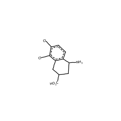 NC1CC(C(=O)O)Cc2c1ccc(Cl)c2Cl